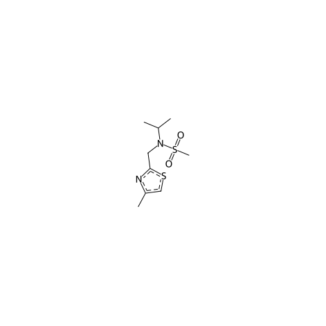 Cc1csc(CN(C(C)C)S(C)(=O)=O)n1